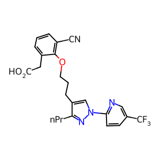 CCCc1nn(-c2ccc(C(F)(F)F)cn2)cc1CCCOc1c(C#N)cccc1CC(=O)O